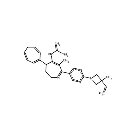 C=CC1(C)CN(c2ncc(C3=NCCC(C4=CC=CCC=C4)C(NC(=C)N)=C3C)cn2)C1